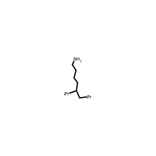 CC(C)C[C](CCCCN)C(C)C